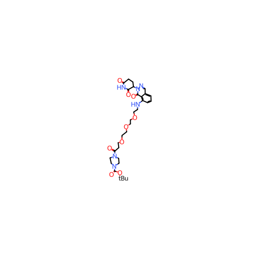 CC(C)(C)OC(=O)N1CCN(C(=O)CCOCCOCCOCCNc2cccc3cnn(C4CCC(=O)NC4=O)c(=O)c23)CC1